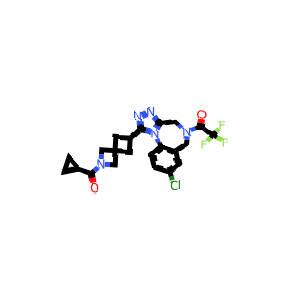 O=C(C1CC1)N1CC2(CC(c3nnc4n3-c3ccc(Cl)cc3CN(C(=O)C(F)(F)F)C4)C2)C1